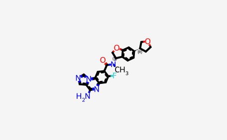 CN(C(=O)c1cc2c(cc1F)nc(N)c1cncn12)[C@@H]1COc2cc([C@H]3CCOC3)ccc21